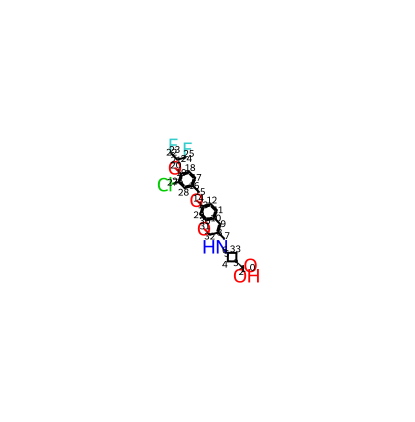 O=C(O)[C@H]1C[C@@H](NCC2=Cc3ccc(OCc4ccc(OC(CF)CF)c(Cl)c4)cc3OC2)C1